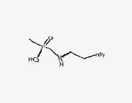 CCCCCNP(C)(=O)O